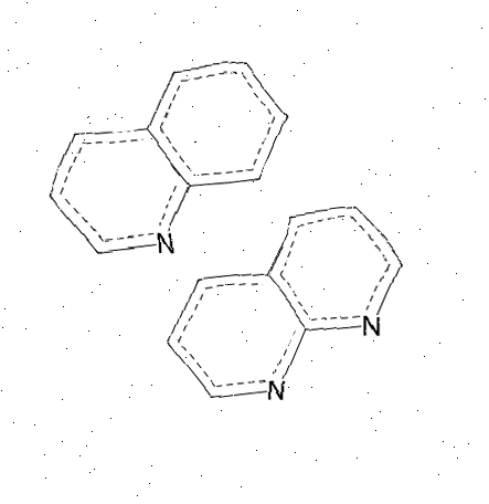 c1ccc2ncccc2c1.c1cnc2ncccc2c1